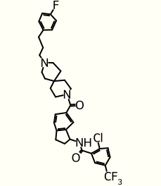 O=C(NC1CCc2ccc(C(=O)N3CCC4(CCN(CCCc5ccc(F)cc5)CC4)CC3)cc21)c1cc(C(F)(F)F)ccc1Cl